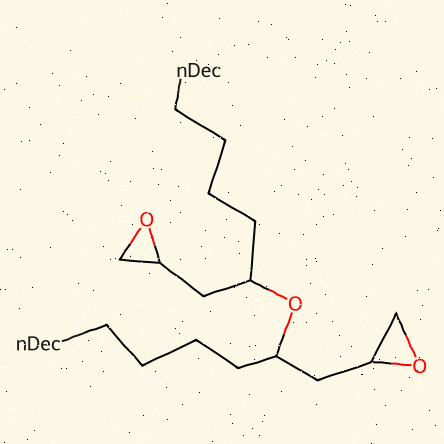 CCCCCCCCCCCCCCC(CC1CO1)OC(CCCCCCCCCCCCCC)CC1CO1